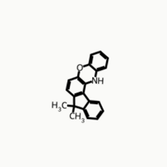 CC1(C)c2ccccc2-c2c1ccc1c2Nc2ccccc2O1